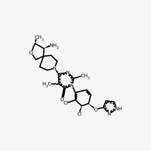 Cc1c(N2CCC3(CC2)CO[C@@H](C)[C@H]3N)nc(C)n(C2=C(Cl)[C@H](Cl)[C@H](Oc3cc[nH]n3)C=C2)c1=O